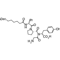 CCCCCCCCCCCCCCCC(=O)N[C@H](C(=O)N1CCC[C@H]1C(=O)N(C(=O)CN)[C@@H](Cc1ccc(O)cc1)C(=O)O)C(C)C